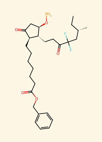 CC[C@H](C)CC(F)(F)C(=O)CC[C@H]1[C@H](OP)CC(=O)[C@@H]1CCCCCCC(=O)OCc1ccccc1